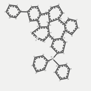 c1ccc(-c2ccc3c(c2)c2cccc4c5cc(N(c6ccccc6)c6ccccc6)ccc5c5ccccc5c5cccc3c5c42)cc1